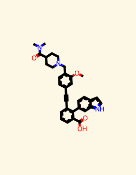 COc1cc(C#Cc2cccc(C(=O)O)c2-c2ccc3cc[nH]c3c2)ccc1CN1CCC(C(=O)N(C)C)CC1